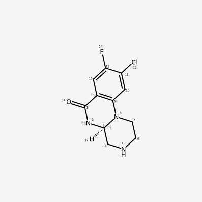 O=C1N[C@@H]2CNCCN2c2cc(Cl)c(F)cc21